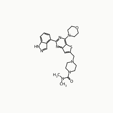 CN(C)C(=O)N1CCN(Cc2cc3nc(-c4cccc5[nH]ncc45)nc(N4CCOCC4)c3s2)CC1